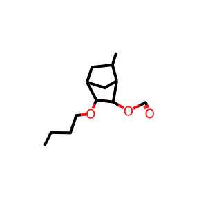 CCCCOC1C2CC(C)C(C2)C1OC=O